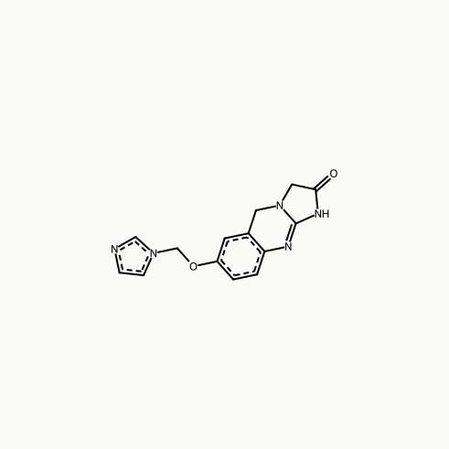 O=C1CN2Cc3cc(OCn4ccnc4)ccc3N=C2N1